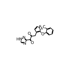 O=C(Cc1ccoc1Oc1ccccc1C(F)(F)F)C(=O)c1nc[nH]n1